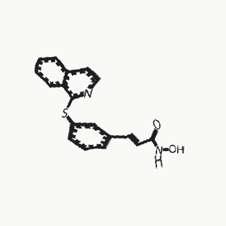 O=C(/C=C/c1cccc(Sc2nccc3ccccc23)c1)NO